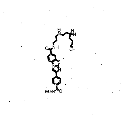 C#CCCC1(CCN(CC)CCCNC(=O)c2ccc3c(c2)sc2nc(-c4ccc(C(=O)NC)cc4)cn23)N=N1